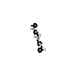 Cc1ccccc1Nc1ccc(C(=O)N/N=C/C2CCN(Cc3ccccc3Cl)CC2)nc1